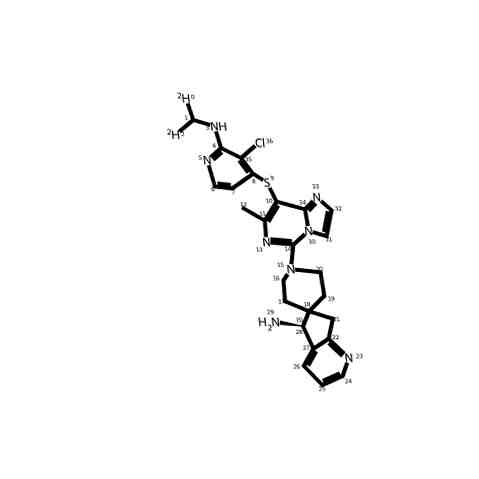 [2H]C([2H])Nc1nccc(Sc2c(C)nc(N3CCC4(CC3)Cc3ncccc3[C@H]4N)n3ccnc23)c1Cl